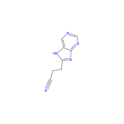 N#CCCc1nc2ncncc2[nH]1